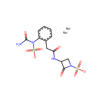 NC(=O)N(c1ccccc1CC(=O)NC1CN(S(=O)(=O)[O-])C1=O)S(=O)(=O)[O-].[Na+].[Na+]